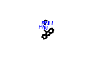 C(=NNC1=NCCN1)c1c2ccccc2cc2ccccc12